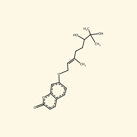 C/C(=C\COc1ccc2ccc(=O)oc2c1)CCC(O)C(C)(C)O